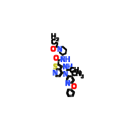 C=CC(=O)N1CCCC(NC(=O)c2sc3nccc4c3c2[nH]c(=C)n4-c2cnc(Oc3ccccc3)cc2C)C1